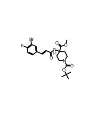 COC(=O)C1(NC(=O)C=Cc2ccc(F)c(Br)c2)CCN(C(=O)OC(C)(C)C)CC1